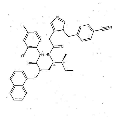 CC[C@H](C)[C@@H](CN(Cc1cccc2ccccc12)C(=S)Nc1ccc(Cl)cc1Cl)NC(=O)Cc1cncn1Cc1ccc(C#N)cc1